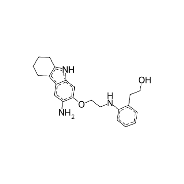 Nc1cc2c3c([nH]c2cc1OCCNc1ccccc1CCO)CCCC3